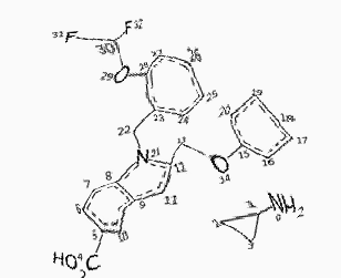 NC1CC1.O=C(O)c1ccc2c(c1)cc(COc1ccccc1)n2Cc1ccccc1OC(F)F